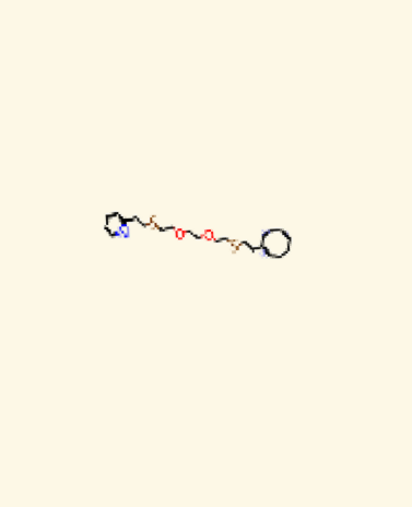 C1=C/CC\C=C(CCSCCOCCOCCSCCc2ccccn2)/C=C\1